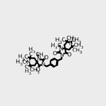 CN1C(C)(C)CC2(CC1(C)C)C(=O)N(Cc1ccc(CN3C(=O)N(C)C4(CC(C)(C)N(C)C(C)(C)C4)C3=O)cc1)C(=O)N2C